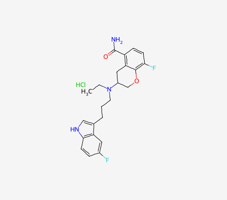 CCN(CCCc1c[nH]c2ccc(F)cc12)C1COc2c(F)ccc(C(N)=O)c2C1.Cl